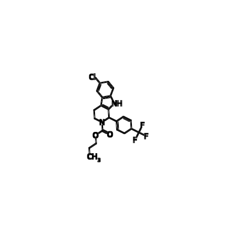 CCCOC(=O)N1CCc2c([nH]c3ccc(Cl)cc23)C1C1=CCC(C(F)(F)F)C=C1